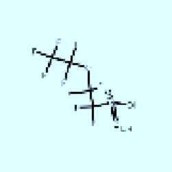 O=S(=O)(O)C(F)(F)C(F)(F)OC(F)(F)C(F)(F)F.[LiH]